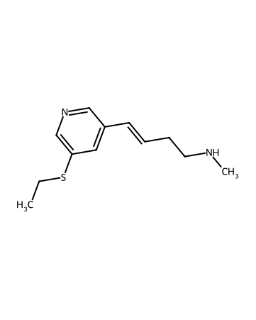 CCSc1cncc(/C=C/CCNC)c1